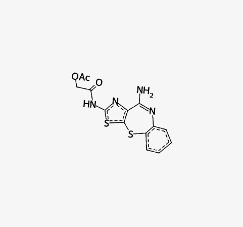 CC(=O)OCC(=O)Nc1nc2c(s1)Sc1ccccc1N=C2N